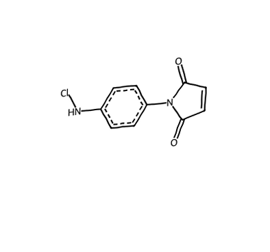 O=C1C=CC(=O)N1c1ccc(NCl)cc1